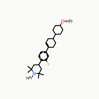 CCCOC1CCC(C2CC=C(c3ccc(C4CC(C)(C)N(CCC)C(C)(C)C4)c(F)c3)CC2)CC1